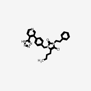 CCCCc1c(Cl)n(CCc2ccccc2)c(=O)n1Cc1ccc(-c2cnccc2-c2nnn[nH]2)cc1